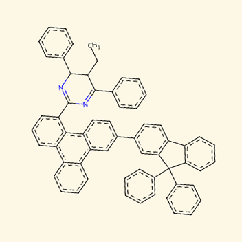 CCC1C(c2ccccc2)=NC(c2cccc3c4ccccc4c4cc(-c5ccc6c(c5)C(c5ccccc5)(c5ccccc5)c5ccccc5-6)ccc4c23)=NC1c1ccccc1